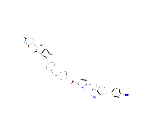 N#Cc1ccc(N2CCc3c(ncnc3Nc3ccc(C(=O)NC4CCN(CC5CCN(c6cc7c(cc6F)C(=O)N(C6CCC(=O)NC6=O)C7=O)CC5)CC4)nn3)C2)cc1Cl